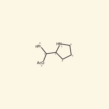 CCCC(OC(C)=O)C1CCCN1